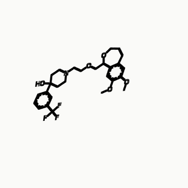 COc1cc2c(cc1OC)C(COCCN1CCC(O)(c3cccc(C(F)(F)F)c3)CC1)OCCC2